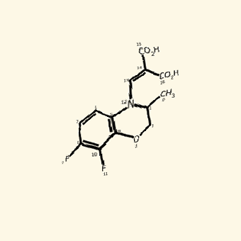 CC1COc2c(ccc(F)c2F)N1C=C(C(=O)O)C(=O)O